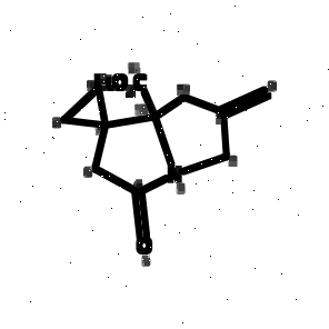 C=C1CN2C(=O)CC3(CC3)C2(C(=O)OCC)C1